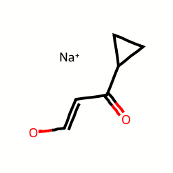 O=C(C=C[O-])C1CC1.[Na+]